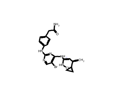 C=C(/C=C(\NC)Nc1nc(Nc2ccc(CC(N)=O)cc2)ncc1Br)C1CC1